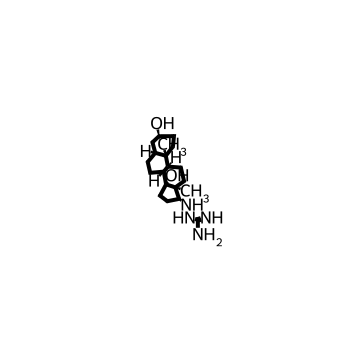 C[C@]12CC[C@H](O)C[C@H]1CC[C@@H]1[C@@H]2CC[C@]2(C)[C@@H](NNC(=N)N)CC[C@]12O